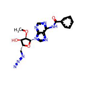 CO[C@@H]1[C@H](O)[C@@H](CN=[N+]=[N-])O[C@H]1n1cnc2c(NC(=O)c3ccccc3)ncnc21